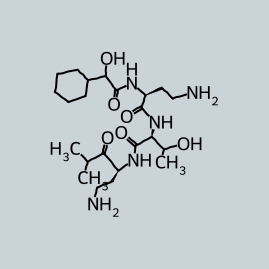 CC(C)C(=O)[C@H](CCN)NC(=O)[C@@H](NC(=O)[C@H](CCN)NC(=O)C(O)C1CCCCC1)C(C)O